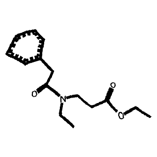 CCOC(=O)CCN(CC)C(=O)Cc1ccccc1